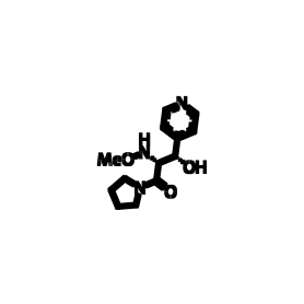 CON[C@@H](C(=O)N1CCCC1)[C@@H](O)c1ccncc1